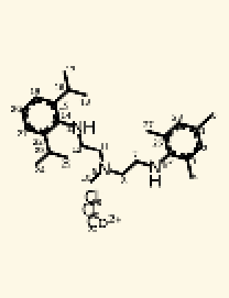 Cc1cc(C)c(NCCN(C)CCNc2c(C(C)C)cccc2C(C)C)c(C)c1.[Cl-].[Cl-].[Co+2]